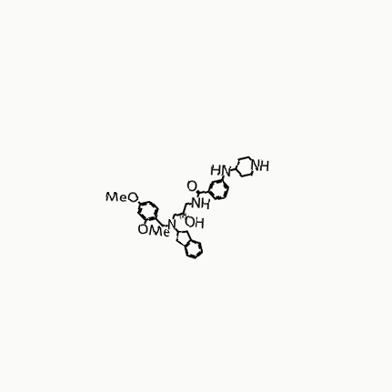 COc1ccc(CN(C[C@H](O)CNC(=O)c2cccc(NC3CCNCC3)c2)C2Cc3ccccc3C2)c(OC)c1